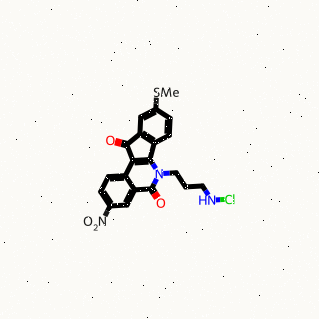 CSc1ccc2c(c1)C(=O)c1c-2n(CCCNCl)c(=O)c2cc([N+](=O)[O-])ccc12